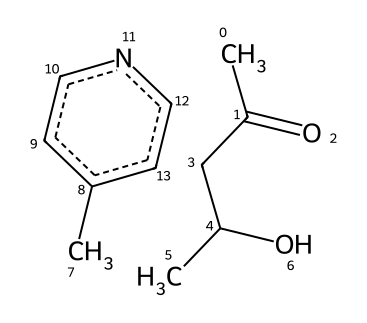 CC(=O)CC(C)O.Cc1ccncc1